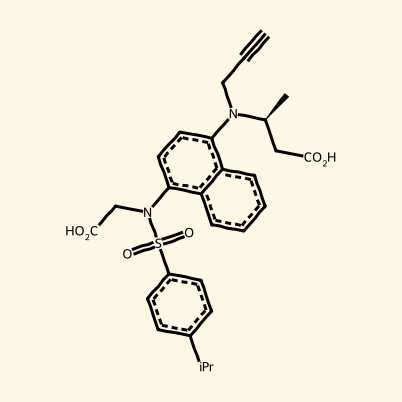 C#CCN(c1ccc(N(CC(=O)O)S(=O)(=O)c2ccc(C(C)C)cc2)c2ccccc12)[C@@H](C)CC(=O)O